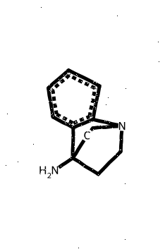 NC12CCN(CC1)c1ccccc12